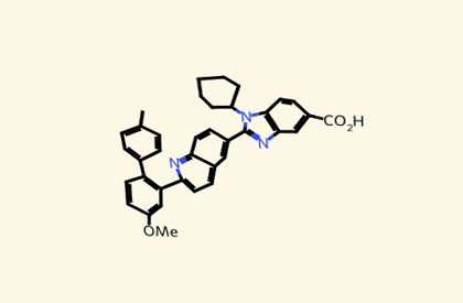 COc1ccc(-c2ccc(C)cc2)c(-c2ccc3cc(-c4nc5cc(C(=O)O)ccc5n4C4CCCCC4)ccc3n2)c1